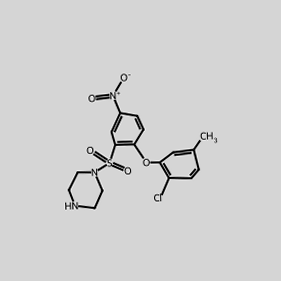 Cc1ccc(Cl)c(Oc2ccc([N+](=O)[O-])cc2S(=O)(=O)N2CCNCC2)c1